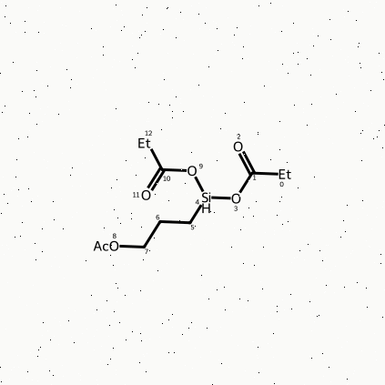 CCC(=O)O[SiH](CCCOC(C)=O)OC(=O)CC